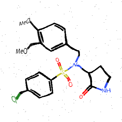 COc1ccc(CN(C2CCNC2=O)S(=O)(=O)c2ccc(Cl)cc2)cc1OC